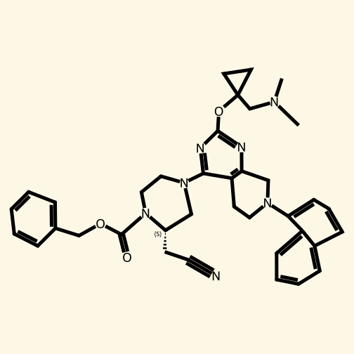 CN(C)CC1(Oc2nc3c(c(N4CCN(C(=O)OCc5ccccc5)[C@@H](CC#N)C4)n2)CCN(c2cccc4ccccc24)C3)CC1